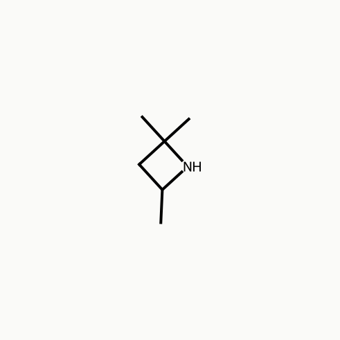 CC1CC(C)(C)N1